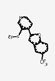 CCSc1cnccc1-c1cc2cc(C(F)(F)F)ccc2o1